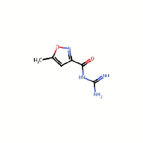 Cc1cc(C(=O)NC(=N)N)no1